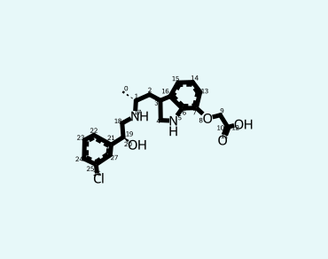 C[C@H](CC1CNc2c(OCC(=O)O)cccc21)NC[C@H](O)c1cccc(Cl)c1